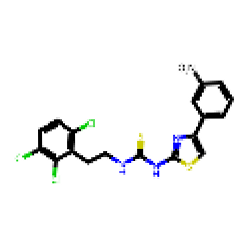 O=[N+]([O-])c1cccc(-c2csc(NC(=S)NCCc3c(Cl)ccc(Cl)c3Cl)n2)c1